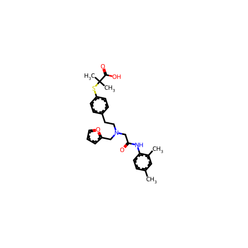 Cc1ccc(NC(=O)CN(CCc2ccc(SC(C)(C)C(=O)O)cc2)Cc2ccco2)c(C)c1